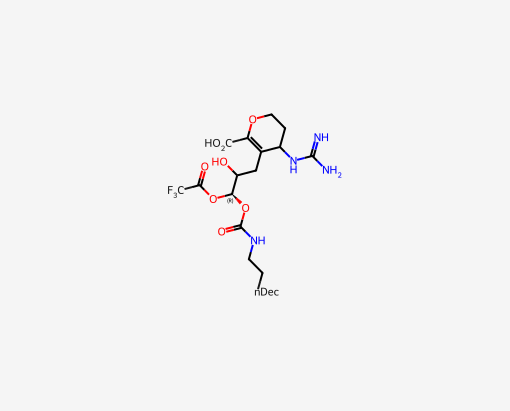 CCCCCCCCCCCCNC(=O)O[C@@H](OC(=O)C(F)(F)F)C(O)CC1=C(C(=O)O)OCCC1NC(=N)N